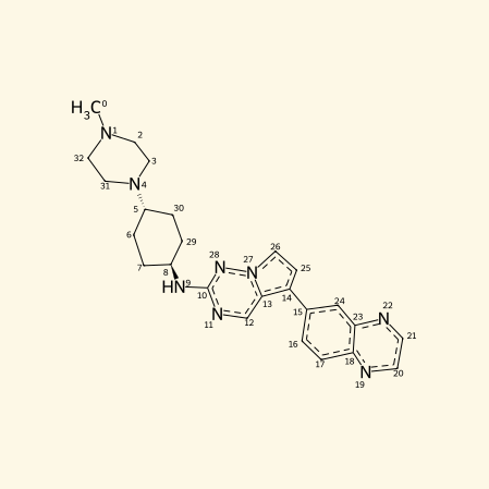 CN1CCN([C@H]2CC[C@H](Nc3ncc4c(-c5ccc6nccnc6c5)ccn4n3)CC2)CC1